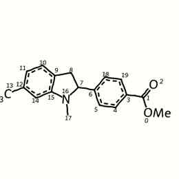 COC(=O)c1ccc(C2Cc3ccc(C(F)(F)F)cc3N2C)cc1